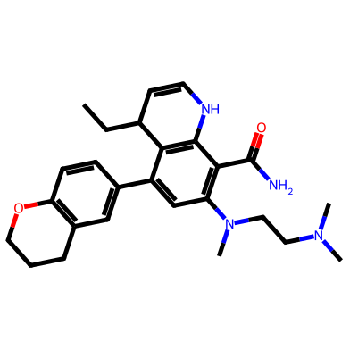 CCC1C=CNc2c(C(N)=O)c(N(C)CCN(C)C)cc(-c3ccc4c(c3)CCCO4)c21